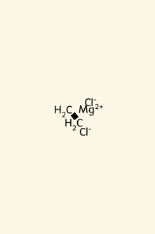 C=C.[Cl-].[Cl-].[Mg+2]